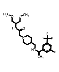 C=C(NCC1CCN(CC(=O)NC(COC)COC)CC1)c1cc(F)cc(C(F)(F)F)c1